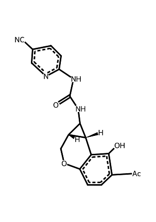 CC(=O)c1ccc2c(c1O)[C@H]1C(NC(=O)Nc3ccc(C#N)cn3)[C@H]1CO2